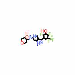 CN(CC1(O)CCOCC1)c1cc2c(cn1)c(-c1cc(C(F)(F)F)c(F)c(O)c1F)nn2C